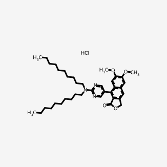 CCCCCCCCCCN(CCCCCCCCCC)c1ncc(-c2c3c(cc4cc(OC)c(OC)cc24)COC3=O)cn1.Cl